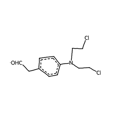 O=[C]Cc1ccc(N(CCCl)CCCl)cc1